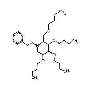 CCCCOCC1C(OCCCC)C(OCCCC)C(OCCCC)CN1CCc1ccccc1